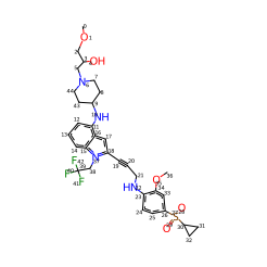 COCC(O)CN1CCC(Nc2cccc3c2cc(C#CCNc2ccc(S(=O)(=O)C4CC4)cc2OC)n3CC(F)(F)F)CC1